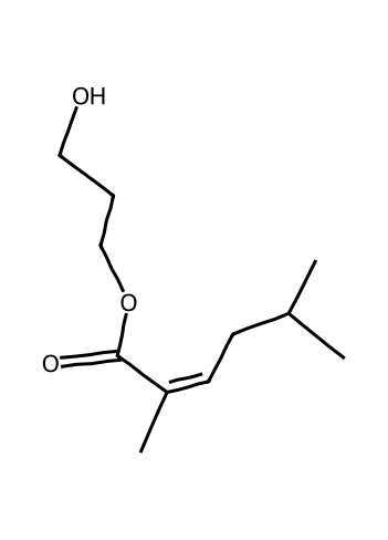 CC(=CCC(C)C)C(=O)OCCCO